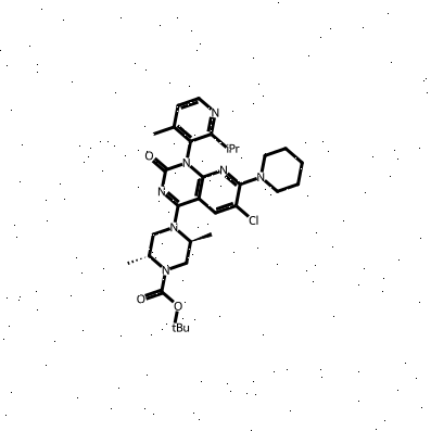 Cc1ccnc(C(C)C)c1-n1c(=O)nc(N2C[C@@H](C)N(C(=O)OC(C)(C)C)C[C@@H]2C)c2cc(Cl)c(N3CCCCC3)nc21